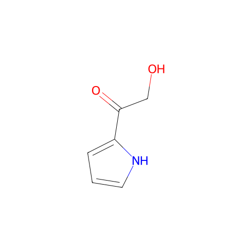 O=C(CO)c1ccc[nH]1